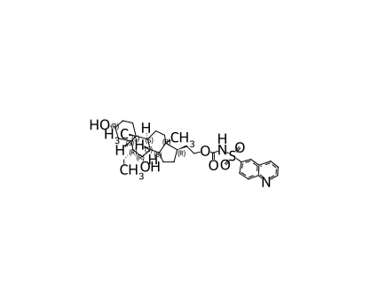 CC[C@H]1[C@@H](O)[C@@H]2[C@H](CC[C@]3(C)[C@@H](CCOC(=O)NS(=O)(=O)c4ccc5ncccc5c4)CC[C@@H]23)[C@@]2(C)CC[C@@H](O)C[C@@H]12